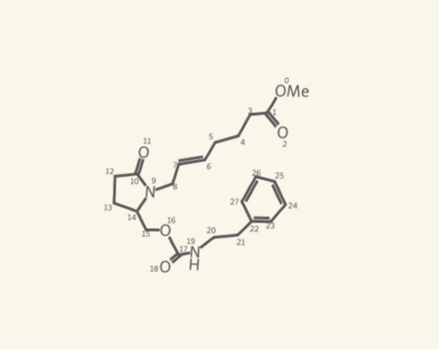 COC(=O)CCCC=CCN1C(=O)CCC1COC(=O)NCCc1ccccc1